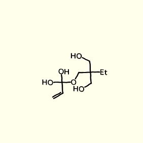 C=CC(O)(O)OCC(CC)(CO)CO